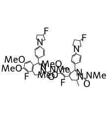 CNC(=O)N1N=C(c2ccc(N3CC[C@@H](F)C3)cc2)c2cc(OC)c(OC)c(F)c2CC1C.CNC(=O)N1N=C(c2ccc(N3CC[C@@H](F)C3)cc2)c2cc(OC)c(OC)c(F)c2C[C@H]1C